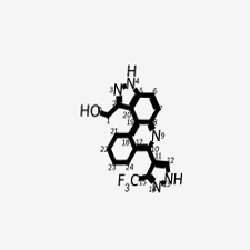 OCc1n[nH]c2ccc3nc(-c4c[nH]nc4C(F)(F)F)c4c(c3c12)CCCC4